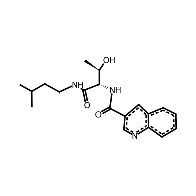 CC(C)C[CH]NC(=O)[C@@H](NC(=O)c1cnc2ccccc2c1)[C@@H](C)O